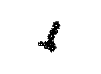 CC(C)(C)NC(=O)N1c2ccccc2CCC1CN1CCN(C2=COC(C3=CC=CCC3)=CO2)CC1